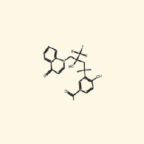 CC(=O)c1ccc(O)c(C(C)(C)CC(O)(Cn2ccc(=O)c3ccccc32)C(F)(F)F)c1